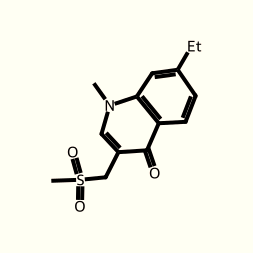 CCc1ccc2c(=O)c(CS(C)(=O)=O)cn(C)c2c1